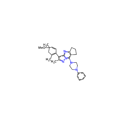 COC1(C)C=CC(c2c(C)nn3c(N4CCN(c5ccccc5)CC4)c4c(nc23)CCC4)=C(C)C1